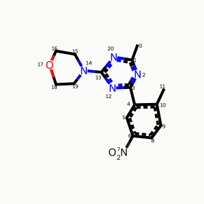 Cc1nc(-c2cc([N+](=O)[O-])ccc2C)nc(N2CCOCC2)n1